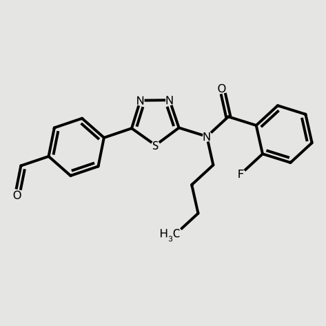 CCCCN(C(=O)c1ccccc1F)c1nnc(-c2ccc(C=O)cc2)s1